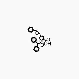 O=C(O)[C@@H]1C[C@H](COCc2ccccc2)CN1C(=O)C(c1ccccc1)c1ccccc1